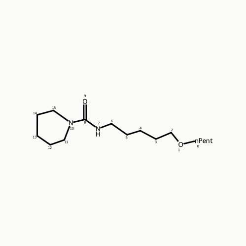 CCCCCOCCCCCNC(=O)N1CCCCC1